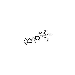 CCC1(Cc2ccc3c(c2)OCCO3)C=CC([C@@H]2O[C@H](SC)[C@@H](O)[C@H](O)[C@H]2O)=CC1